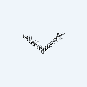 [Ba+2].[Ba+2].[Ge+4].[Ge+4].[O-2].[O-2].[O-2].[O-2].[O-2].[O-2].[O-2].[O-2].[O-2].[Y+3].[Y+3]